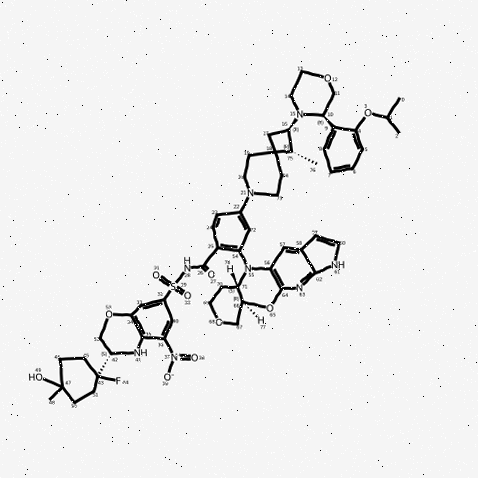 CC(C)Oc1ccccc1[C@@H]1COCCN1[C@@H]1CC2(CCN(c3ccc(C(=O)NS(=O)(=O)c4cc5c(c([N+](=O)[O-])c4)N[C@H](C4(F)CCC(C)(O)CC4)CO5)c(N4c5cc6cc[nH]c6nc5O[C@H]5COCC[C@@H]54)c3)CC2)[C@H]1C